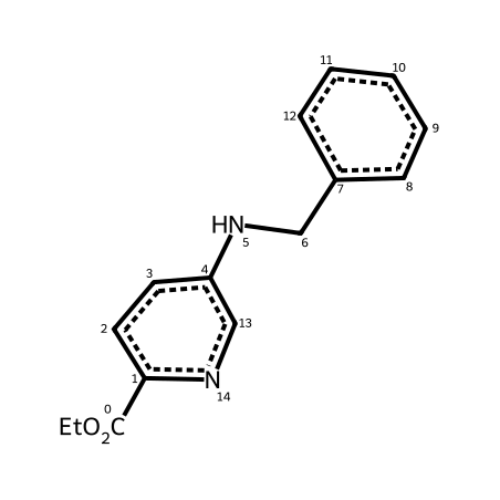 CCOC(=O)c1ccc(NCc2ccccc2)cn1